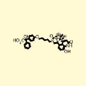 CC(C)(C)OC(=O)N(CCCCCOc1ccc(C(O)(C(=O)O)c2ccccc2)cc1)CC(O[Si](C)(C)C(C)(C)C)c1ccc(O)c2[nH]c(=O)ccc12